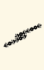 Cc1cnc(-c2ccc(-c3ncc(-c4ncc(-c5ccc(-c6ncc(C)cn6)c(-c6cc(-c7cnc(-c8cnc(-c9ccc(-c%10ccc(-c%11cnc(C)nc%11)cc%10)cc9)nc8)nc7)ccc6-c6cnc(C)nc6)c5)cn4)cn3)cc2)nc1